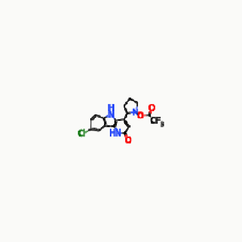 O=C(ON1CCCC1c1cc(=O)[nH]c2c1[nH]c1ccc(Cl)cc12)C(F)(F)F